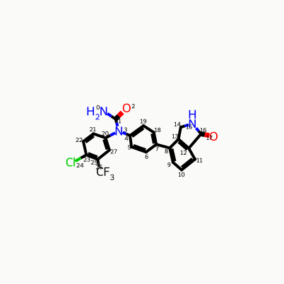 NC(=O)N(c1ccc(-c2cccc3c2CNC3=O)cc1)c1ccc(Cl)c(C(F)(F)F)c1